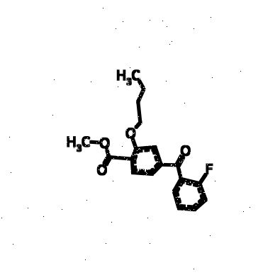 CCCCOc1cc(C(=O)c2ccccc2F)ccc1C(=O)OC